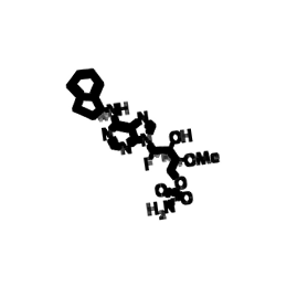 CO[C@H](COS(N)(=O)=O)[C@@H](O)[C@H](F)n1cnc2c(N[C@H]3CCc4ccccc43)ncnc21